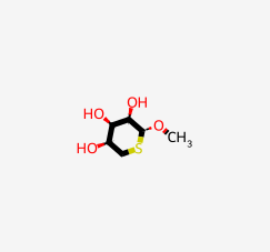 CO[C@@H]1SC[C@@H](O)[C@@H](O)[C@H]1O